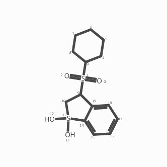 O=S(=O)(C1CCCCC1)C1CS(O)(O)c2ccccc21